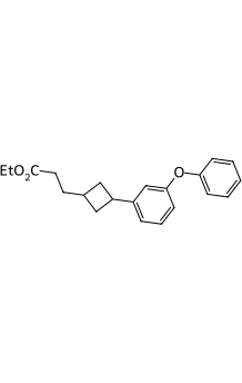 CCOC(=O)CCC1CC(c2cccc(Oc3ccccc3)c2)C1